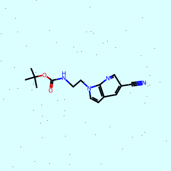 CC(C)(C)OC(=O)NCCn1ccc2cc(C#N)cnc21